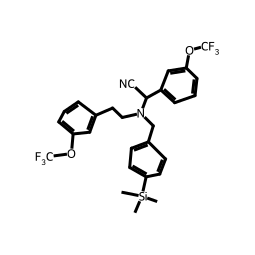 C[Si](C)(C)c1ccc(CN(CCc2cccc(OC(F)(F)F)c2)C(C#N)c2cccc(OC(F)(F)F)c2)cc1